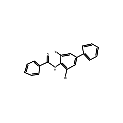 O=C(Nc1c(Br)cc(-c2ccccc2)cc1Br)c1ccccc1